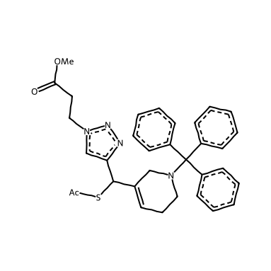 COC(=O)CCn1cc(C(SC(C)=O)C2=CCCN(C(c3ccccc3)(c3ccccc3)c3ccccc3)C2)nn1